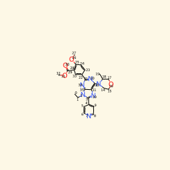 CCn1c(-c2ccncc2)nc2c(N3CCOCC3C)nc(-c3ccc(OC)c(C(=O)OC)c3)nc21